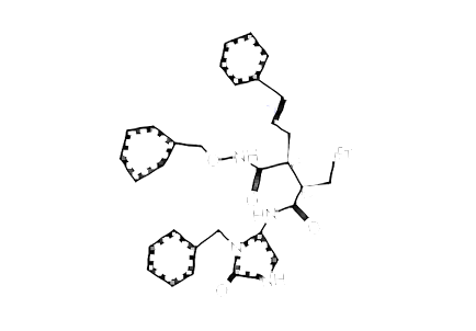 CC(C)C[C@@H](C(=O)Nc1c[nH]c(=O)n1Cc1ccccc1)[C@H](C/C=C/c1ccccc1)C(=O)NOCc1ccccc1